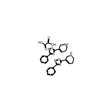 C1=C(c2nc(-c3ccccc3)no2)CNCC1.C1=C(c2nc(-c3ccccc3)no2)CNCC1.O=C(O)C(=O)O